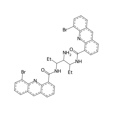 CCC(NC(=O)c1cccc2cc3cccc(Br)c3nc12)C(N)C(CC)NC(=O)c1cccc2cc3cccc(Br)c3nc12